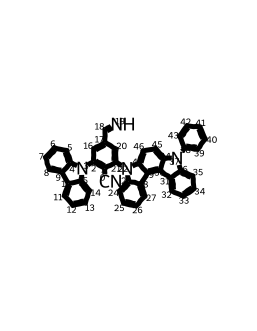 N#Cc1c(-n2c3ccccc3c3ccccc32)cc(C=N)cc1-n1c2ccccc2c2c3c4ccccc4n(-c4ccccc4)c3ccc21